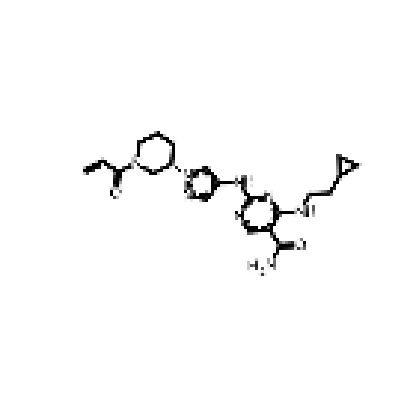 C=CC(=O)N1CCC[C@H](n2cc(Nc3ncc(C(N)=O)c(NCCC4CC4)n3)cn2)C1